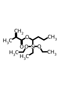 C=C(C)C(=O)OC(CCC)[Si](CC)(OCC)OCC